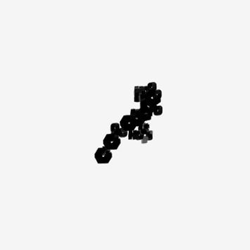 CCc1c2c(nc3ccc(OC(=O)N4CCC(N5CCCCC5)CC4)cc13)-c1cc3c(c(=O)n1C2)COC(=O)[C@]3(O)CC.CS(=O)(=O)O